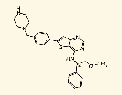 COC[C@@H](Nc1ncnc2cc(-c3ccc(CN4CCNCC4)cc3)sc12)c1ccccc1